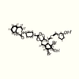 O=C(N=C=C=CN1CCC[C@H](O)C1)[C@@H](Cc1cc(Br)c(O)c(Br)c1)OC(=O)N1CCC(N2CCc3ccccc3NC2=O)CC1